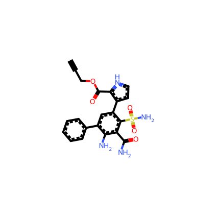 C#CCOC(=O)c1[nH]ccc1-c1cc(-c2ccccc2)c(N)c(C(N)=O)c1S(N)(=O)=O